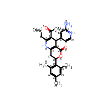 COCC1=C(C(=O)OC)C(c2ccnc(N)c2)C2=C(CC(c3c(C)cc(C)cc3C)OC2=O)N1